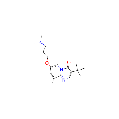 Cc1cc(OCCCN(C)C)cn2c(=O)c(C(C)(C)C)cnc12